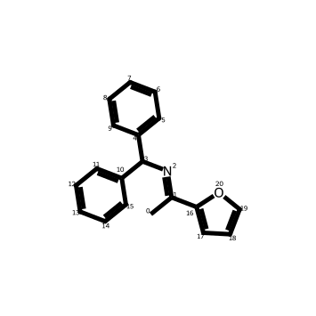 CC(=NC(c1ccccc1)c1ccccc1)c1ccco1